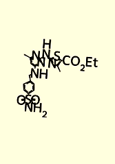 CCOC(=O)c1sc(Nc2nc(C)cc(NCc3ccc(S(N)(=O)=O)cc3)n2)nc1C